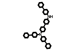 c1ccc(-c2ccc(Nc3ccc(-c4ccc(N(c5ccc(-c6ccccc6)cc5)c5ccc(-c6ccccc6)cc5)cc4)cc3)cc2)cc1